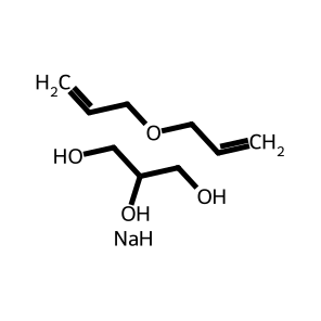 C=CCOCC=C.OCC(O)CO.[NaH]